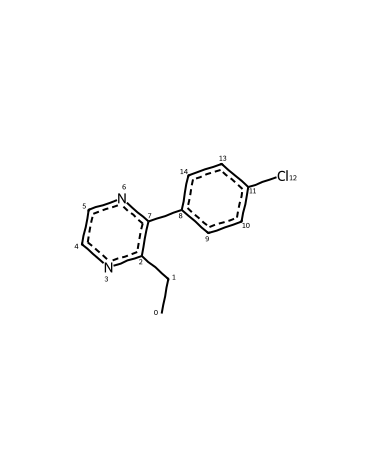 CCc1nccnc1-c1ccc(Cl)cc1